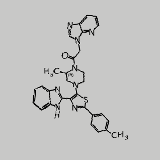 Cc1ccc(-c2nc(-c3nc4ccccc4[nH]3)c(N3CCN(C(=O)Cn4cnc5cccnc54)[C@H](C)C3)s2)cc1